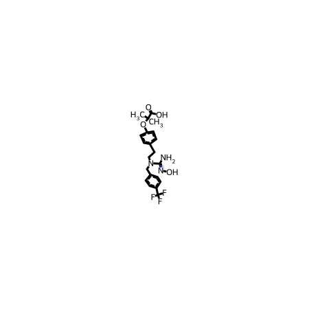 CC(C)(Oc1ccc(CCN(Cc2ccc(C(F)(F)F)cc2)/C(N)=N/O)cc1)C(=O)O